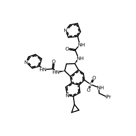 CC(C)CNS(=O)(=O)c1cc2c(c3cnc(C4CC4)cc13)[C@@H](NC(=O)Nc1cccnc1)C[C@H]2NC(=O)Nc1cccnc1